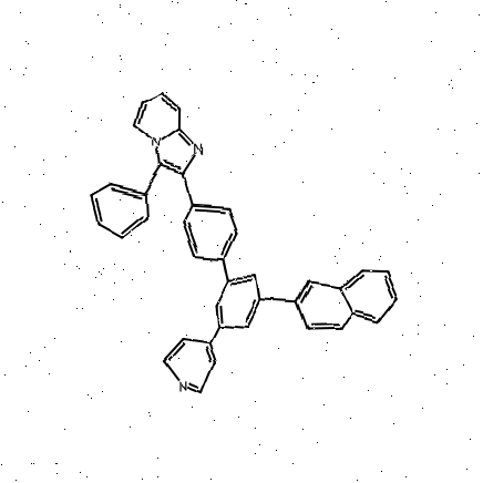 c1ccc(-c2c(-c3ccc(-c4cc(-c5ccncc5)cc(-c5ccc6ccccc6c5)c4)cc3)nc3ccccn23)cc1